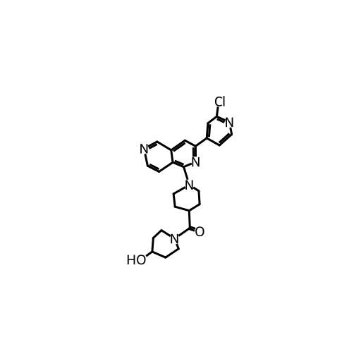 O=C(C1CCN(c2nc(-c3ccnc(Cl)c3)cc3cnccc23)CC1)N1CCC(O)CC1